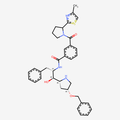 Cc1csc(C2CCCN2C(=O)c2cccc(C(=O)N[C@@H](Cc3ccccc3)[C@H](O)[C@H]3C[C@@H](OCc4ccccc4)CN3)c2)n1